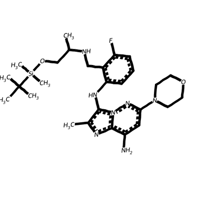 Cc1nc2c(N)cc(N3CCOCC3)nn2c1Nc1cccc(F)c1CNC(C)CO[Si](C)(C)C(C)(C)C